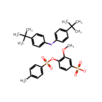 CC(C)(C)c1ccc([I+]c2ccc(C(C)(C)C)cc2)cc1.COc1cc(S(=O)(=O)[O-])ccc1OS(=O)(=O)c1ccc(C)cc1